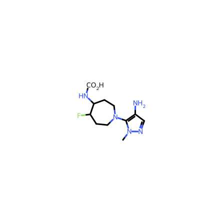 Cn1ncc(N)c1N1CCC(F)C(NC(=O)O)CC1